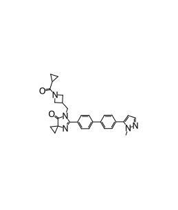 Cn1nccc1-c1ccc(-c2ccc(C3=NC4(CC4)C(=O)N3CC3CN(C(=O)C4CC4)C3)cc2)cc1